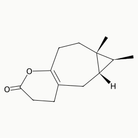 C[C@H]1[C@@H]2CC3=C(CC[C@]12C)OC(=O)CC3